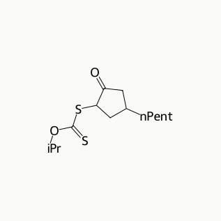 CCCCCC1CC(=O)C(SC(=S)OC(C)C)C1